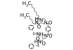 CCCCCCCCC(=O)N1CCN(C(=O)c2ccc(C(=O)N3C[C@@H](C(=O)N[C@H]4C[C@@H]4c4ccccc4)[C@H](C(=O)N[C@H]4C[C@@H]4c4ccccc4)C3)cc2)CC1C(=O)NCCCCCC